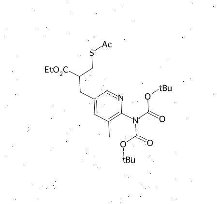 CCOC(=O)C(CSC(C)=O)Cc1cnc(N(C(=O)OC(C)(C)C)C(=O)OC(C)(C)C)c(C)c1